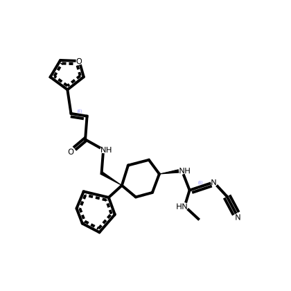 CN/C(=N\C#N)N[C@H]1CC[C@](CNC(=O)/C=C/c2ccoc2)(c2ccccc2)CC1